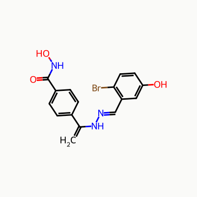 C=C(N/N=C/c1cc(O)ccc1Br)c1ccc(C(=O)NO)cc1